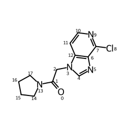 O=C(Cn1cnc2c(Cl)nccc21)N1CCCC1